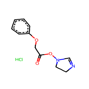 Cl.O=C(COc1ccccc1)ON1C=NCC1